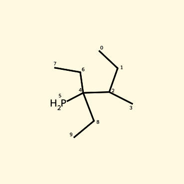 CCC(C)C(P)(CC)CC